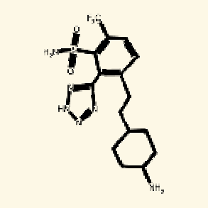 NC1CCC(CCc2ccc(C(F)(F)F)c(S(N)(=O)=O)c2-c2nn[nH]n2)CC1